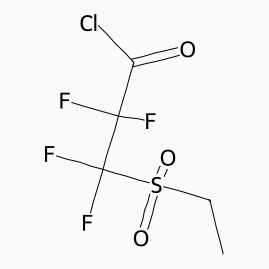 CCS(=O)(=O)C(F)(F)C(F)(F)C(=O)Cl